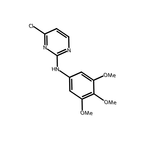 COc1cc(Nc2nccc(Cl)n2)cc(OC)c1OC